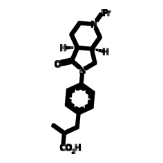 CC(Cc1ccc(N2C[C@@H]3CN(C(C)C)CC[C@@H]3C2=O)cc1)C(=O)O